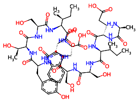 CC[C@H](C)[C@H](NC(=O)[C@H](CO)NC(=O)[C@@H](NC(=O)[C@H](Cc1ccc(O)cc1)NC(=O)[C@H](CC(=O)O)NC(=O)[C@H](CO)NC(=O)[C@H](CO)NC(=O)[C@@H](NC(=O)[C@H](CCC(=O)O)NC(=O)[C@H](C)N)[C@@H](C)CC)[C@@H](C)O)C(=O)N[C@@H](Cc1c[nH]c2ccccc12)C(=O)O